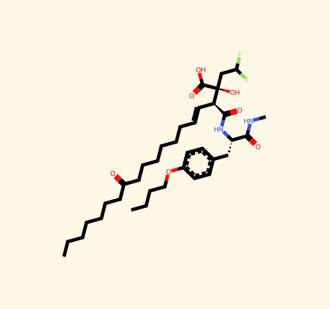 CCCCCCCC(=O)CCCCCC/C=C/[C@H](C(=O)N[C@@H](Cc1ccc(OCCCC)cc1)C(=O)NC)[C@@](O)(CC(F)F)C(=O)O